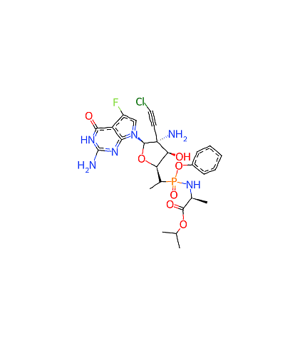 CC(C)OC(=O)[C@H](C)NP(=O)(Oc1ccccc1)C(C)[C@H]1O[C@@H](n2cc(F)c3c(=O)[nH]c(N)nc32)[C@@](N)(C#CCl)[C@H]1O